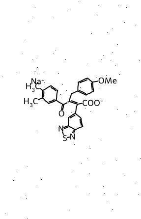 COc1ccc(CC(C(=O)c2ccc(C)c(C)c2)=C(C(=O)[O-])c2ccc3nsnc3c2)cc1.[Na+]